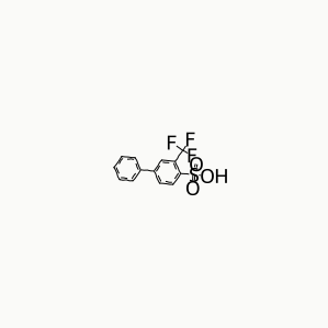 O=S(=O)(O)c1ccc(-c2ccccc2)cc1C(F)(F)F